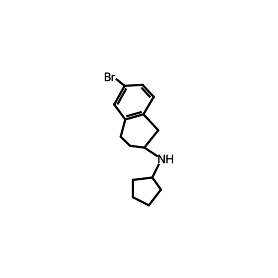 Brc1ccc2c(c1)CCC(NC1CCCC1)C2